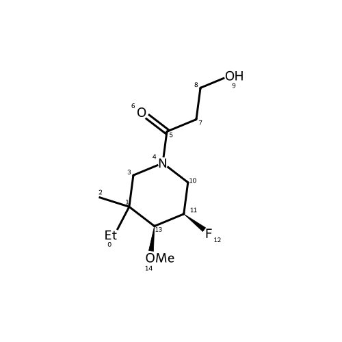 CCC1(C)CN(C(=O)CCO)C[C@@H](F)[C@H]1OC